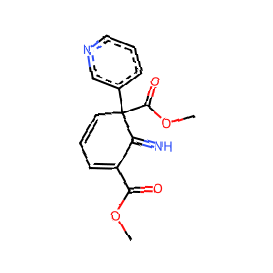 COC(=O)C1=CC=CC(C(=O)OC)(c2cccnc2)C1=N